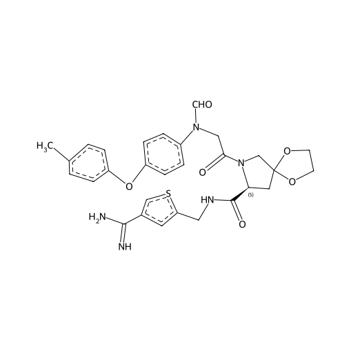 Cc1ccc(Oc2ccc(N(C=O)CC(=O)N3CC4(C[C@H]3C(=O)NCc3cc(C(=N)N)cs3)OCCO4)cc2)cc1